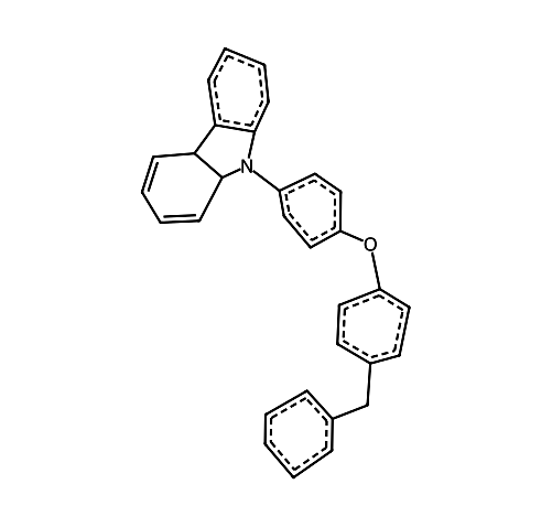 C1=CC2c3ccccc3N(c3ccc(Oc4ccc(Cc5ccccc5)cc4)cc3)C2C=C1